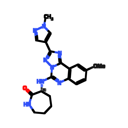 COc1ccc2nc(N[C@@H]3CCCCNC3=O)n3nc(-c4cnn(C)c4)nc3c2c1